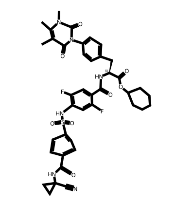 Cc1c(C)n(C)c(=O)n(-c2ccc(C[C@H](NC(=O)c3cc(F)c(NS(=O)(=O)c4ccc(C(=O)NC5(C#N)CC5)cc4)cc3F)C(=O)OC3CCCCC3)cc2)c1=O